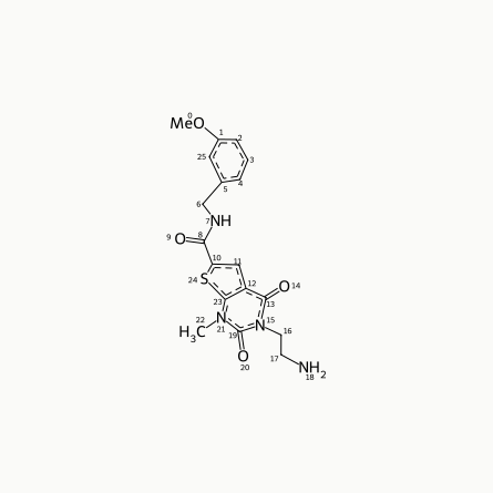 COc1cccc(CNC(=O)c2cc3c(=O)n(CCN)c(=O)n(C)c3s2)c1